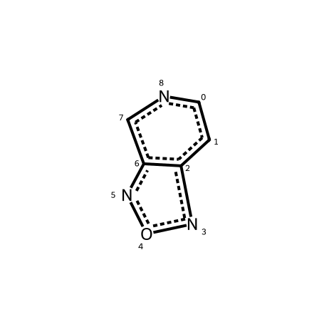 c1cc2nonc2cn1